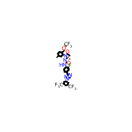 Cc1ccc(COCC(F)(F)F)c(N2C(=O)CS/C2=N\C(=O)Nc2ccc(-c3ncn(-c4cc(C(F)(F)F)cc(C(F)(F)F)c4)n3)cc2F)c1